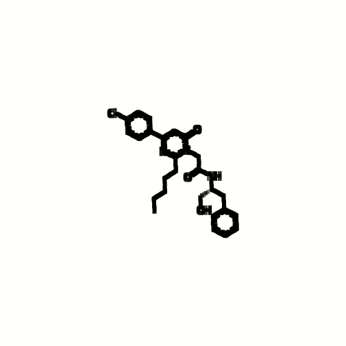 CCCCCc1nc(-c2ccc(Cl)cc2)cc(=O)n1CC(=O)N[C@@H](CO)Cc1ccccc1